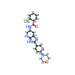 O=C(Nc1cnc2[nH]c(-c3ccc(N4CCOCC4)nc3)nc2c1)c1ccccc1Cl